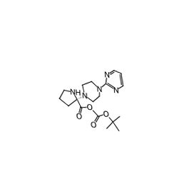 CC(C)(C)OC(=O)OC(=O)[C@@]1(N2CCN(c3ncccn3)CC2)CCCN1